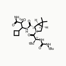 CC(C)(C)NC(=O)N[C@H](C(=O)N1C[C@H]2[C@@H]([C@H]1C(=O)NC(C1CCC1)C(O)C(N)=O)C2(C)C)C(C)(C)C